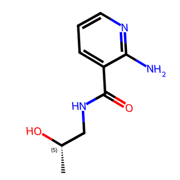 C[C@H](O)CNC(=O)c1cccnc1N